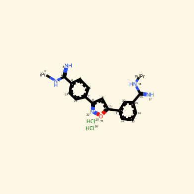 CC(C)NC(=N)c1ccc(-c2cc(-c3cccc(C(=N)NC(C)C)c3)on2)cc1.Cl.Cl